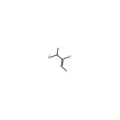 CC=C(Cl)C(C)Cl